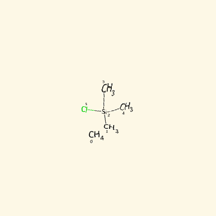 C.C[Si](C)(C)Cl